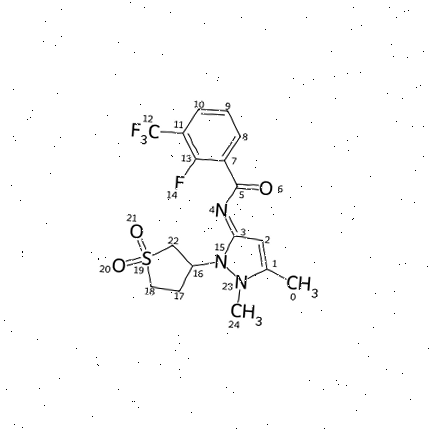 Cc1cc(=NC(=O)c2cccc(C(F)(F)F)c2F)n(C2CCS(=O)(=O)C2)n1C